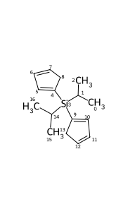 CC(C)[Si](C1=CC=CC1)(C1=CC=CC1)C(C)C